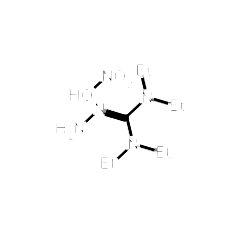 CCN(CC)C(=NN)N(CC)CC.O=[N+]([O-])O